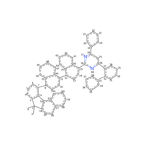 CC1(C)c2cccc(-c3ccc(-c4ccc(-c5nc(-c6ccccc6)cc(-c6ccccc6-c6ccccc6)n5)c5ccccc45)c4ccccc34)c2-c2c1ccc1ccccc21